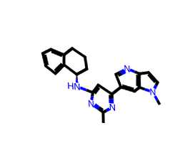 Cc1nc(N[C@@H]2CCCc3ccccc32)cc(-c2cnc3ccn(C)c3c2)n1